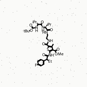 CCC(C(=O)Nc1sc(C(=O)NCCNC(=O)[C@@H](NC(=O)[C@@H](NC(=O)OC(C)(C)C)C(C)C)C(C)C)c(C)c1C(=O)OC)c1ccc(F)cc1